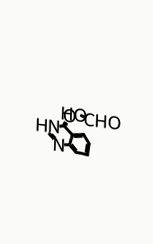 O=CO.O=c1[nH]cnc2ccccc12